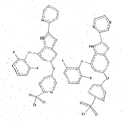 CCS(=O)(=O)c1ccc(Oc2cc(Oc3c(F)cccc3F)c3[nH]c(-c4ccccn4)cc3c2)cn1.CCS(=O)(=O)c1ccc(Oc2cc(Oc3c(F)cccc3F)c3[nH]c(-c4cnccn4)cc3c2)cc1